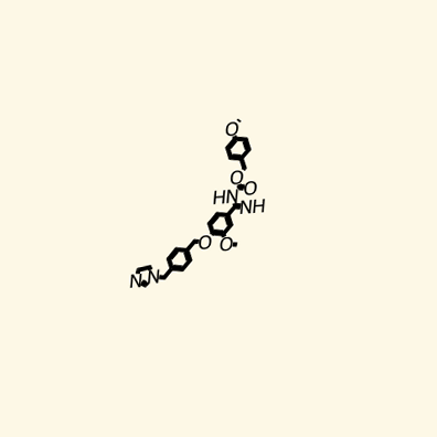 COc1ccc(COC(=O)NC(=N)c2ccc(OCc3ccc(CN4C=NCC4)cc3)c(OC)c2)cc1